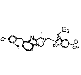 C[C@H]1c2nc3c(Cc4ccc(Cl)cc4F)cccc3n2CCN1Cc1nc2ccc(C(=O)O)cc2n1C[C@@H]1CCO1